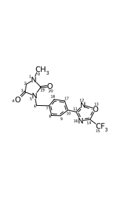 CN1CC(=O)N(Cc2ccc(-c3noc(C(F)(F)F)n3)cc2)C1=O